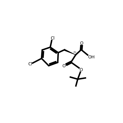 CC(C)(C)OC(=O)[C@@H](Cc1ccc(Cl)cc1Cl)C(=O)O